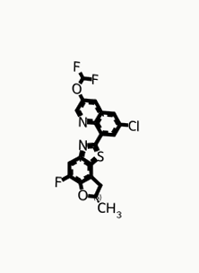 C[C@H]1Cc2c(c(F)cc3nc(-c4cc(Cl)cc5cc(OC(F)F)cnc45)sc23)O1